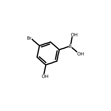 OB(O)c1cc(O)cc(Br)c1